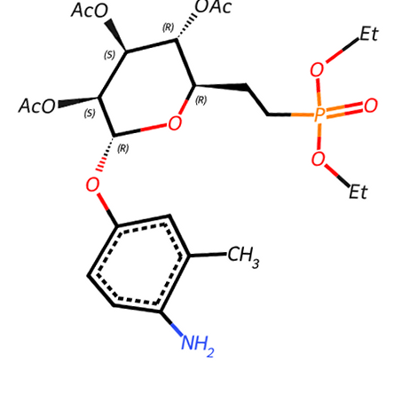 CCOP(=O)(CC[C@H]1O[C@H](Oc2ccc(N)c(C)c2)[C@@H](OC(C)=O)[C@@H](OC(C)=O)[C@@H]1OC(C)=O)OCC